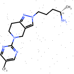 C[C@H](N)CCCn1cc2c(n1)CCN(c1ncc(C(F)(F)F)cn1)C2